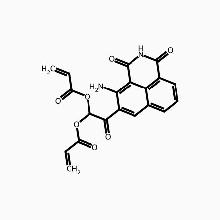 C=CC(=O)OC(OC(=O)C=C)C(=O)c1cc2cccc3c2c(c1N)C(=O)NC3=O